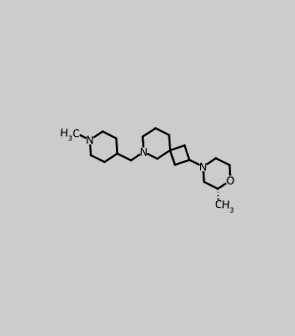 C[C@@H]1CN(C2CC3(CCCN(CC4CCN(C)CC4)C3)C2)CCO1